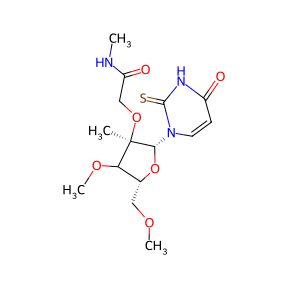 CNC(=O)CO[C@]1(C)C(OC)[C@@H](COC)O[C@H]1n1ccc(=O)[nH]c1=S